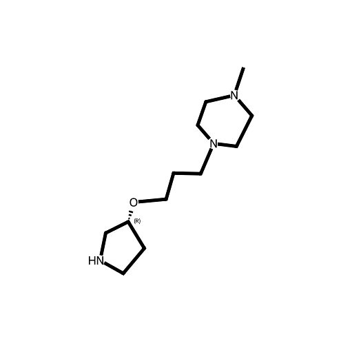 CN1CCN(CCCO[C@@H]2CCNC2)CC1